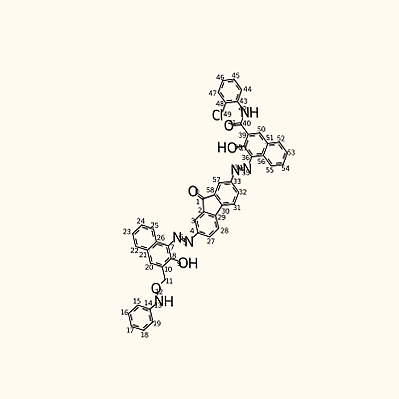 O=C1c2cc(N=Nc3c(O)c(CONc4ccccc4)cc4ccccc34)ccc2-c2ccc(N=Nc3c(O)c(C(=O)Nc4ccccc4Cl)cc4ccccc34)cc21